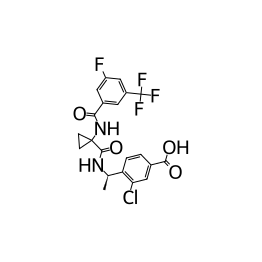 C[C@@H](NC(=O)C1(NC(=O)c2cc(F)cc(C(F)(F)F)c2)CC1)c1ccc(C(=O)O)cc1Cl